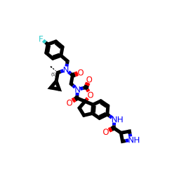 C[C@@H](C1CC1)N(Cc1ccc(F)cc1)C(=O)CN1C(=O)OC2(CCc3cc(NC(=O)C4CNC4)ccc32)C1=O